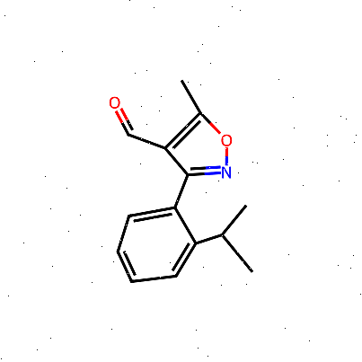 Cc1onc(-c2ccccc2C(C)C)c1C=O